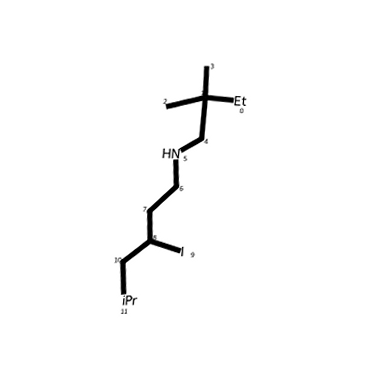 CCC(C)(C)CNCCC(I)CC(C)C